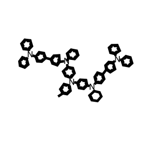 Cc1ccc(N(c2ccc(N(c3ccccc3)c3ccc(-c4ccc(N(c5ccccc5)c5ccccc5)cc4)cc3)cc2)c2ccc(N(c3ccc(-c4ccc(N(c5ccccc5)c5ccccc5)cc4)cc3)C3C=CCCC3)cc2)cc1